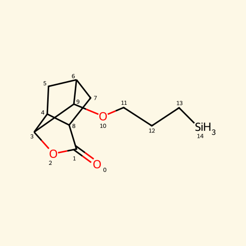 O=C1OC2C3CC(CC13)C2OCCC[SiH3]